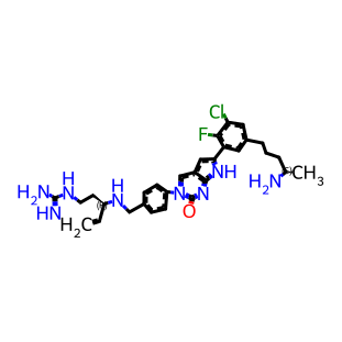 C=C[C@@H](CCNC(=N)N)NCc1ccc(-n2cc3cc(-c4cc(CCC[C@H](C)N)cc(Cl)c4F)[nH]c3nc2=O)cc1